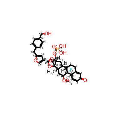 C[C@]12C=CC(=O)C=C1CC[C@H]1[C@@H]3C[C@H]4O[C@@H](c5coc(Cc6ccc(CO)cc6)c5)O[C@@]4(C(=O)COP(=O)(O)O)[C@@]3(C)C[C@H](O)[C@@]12F